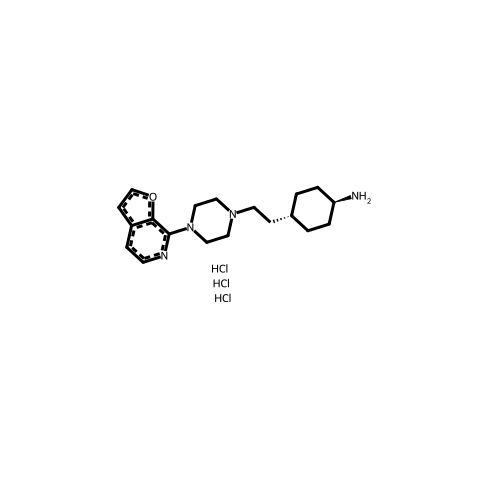 Cl.Cl.Cl.N[C@H]1CC[C@H](CCN2CCN(c3nccc4ccoc34)CC2)CC1